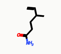 C=CC(C)CCC(N)=O